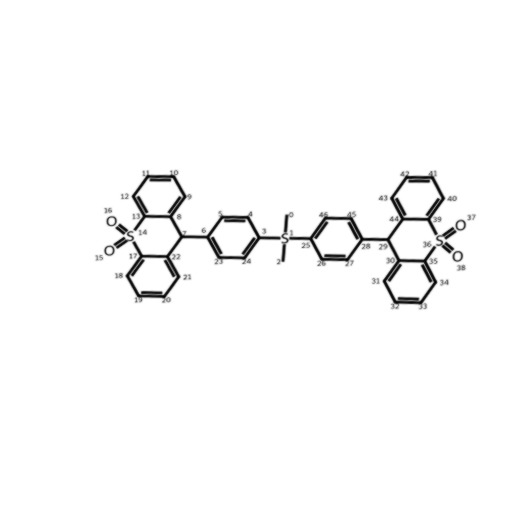 CS(C)(c1ccc(C2c3ccccc3S(=O)(=O)c3ccccc32)cc1)c1ccc(C2c3ccccc3S(=O)(=O)c3ccccc32)cc1